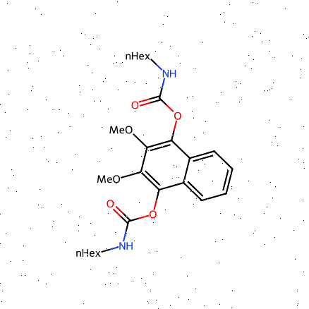 CCCCCCNC(=O)Oc1c(OC)c(OC)c(OC(=O)NCCCCCC)c2ccccc12